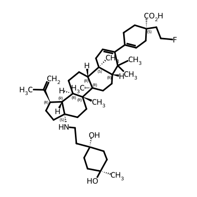 C=C(C)[C@@H]1CC[C@]2(NCC[C@]3(O)CC[C@](C)(O)CC3)CC[C@]3(C)[C@H](CC[C@@H]4[C@@]5(C)CC=C(C6=CC[C@@](CCF)(C(=O)O)CC6)C(C)(C)[C@@H]5CC[C@]43C)[C@@H]12